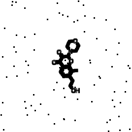 Cc1c(CCO)ccc2c1OC(N1CCOCC1)C(=O)C2=O